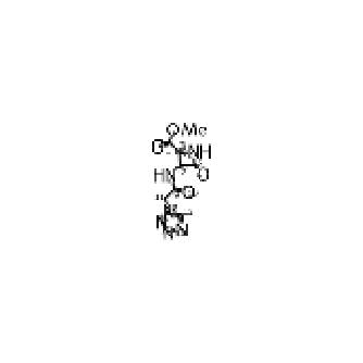 COC(=O)[C@H]1NC(=O)[C@H]1NC(=O)Cn1cnnn1